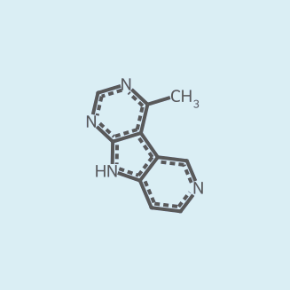 Cc1ncnc2[nH]c3ccncc3c12